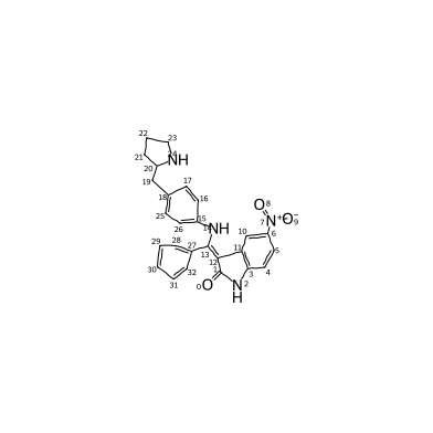 O=C1Nc2ccc([N+](=O)[O-])cc2C1=C(Nc1ccc(CC2CCCN2)cc1)c1ccccc1